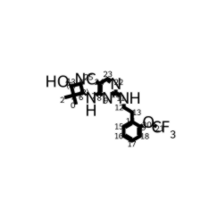 CC1(C)[C@@H](O)C[C@H]1Nc1nc(NCCc2ccccc2OC(F)(F)F)ncc1C#N